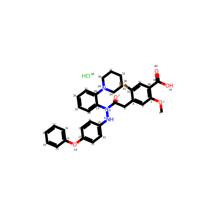 COc1cc(CC(=O)N(Nc2ccc(Oc3ccccc3)cc2)c2ccccc2N2CCCCC2)c(Br)cc1C(=O)O.Cl